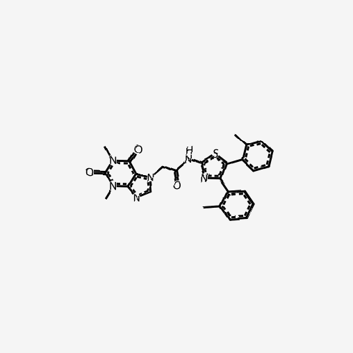 Cc1ccccc1-c1nc(NC(=O)Cn2cnc3c2c(=O)n(C)c(=O)n3C)sc1-c1ccccc1C